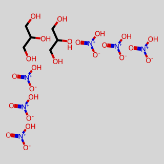 O=[N+]([O-])O.O=[N+]([O-])O.O=[N+]([O-])O.O=[N+]([O-])O.O=[N+]([O-])O.O=[N+]([O-])O.OCC(O)CO.OCC(O)CO